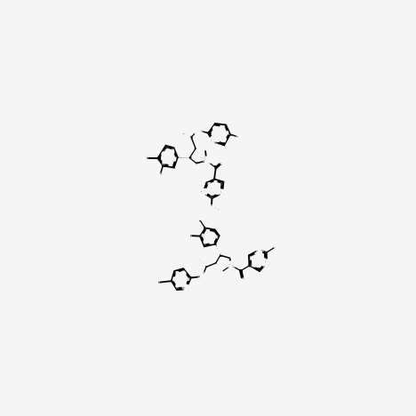 C[C@@H](Oc1ccc(Cl)cn1)[C@@H]1CN(C(=O)c2cnc(C#N)nc2)C[C@H]1c1ccc(Cl)c(Cl)c1.Cc1ncc(C(=O)N2C[C@H]([C@H](C)Oc3ccc(Cl)cn3)[C@@H](c3ccc(Cl)c(Cl)c3)C2)cn1